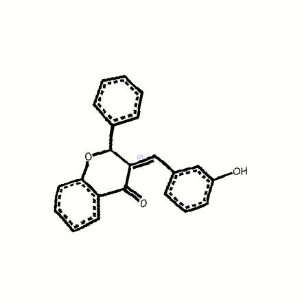 O=C1/C(=C\c2cccc(O)c2)C(c2ccccc2)Oc2ccccc21